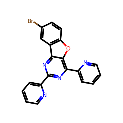 Brc1ccc2oc3c(-c4ccccn4)nc(-c4ccccn4)nc3c2c1